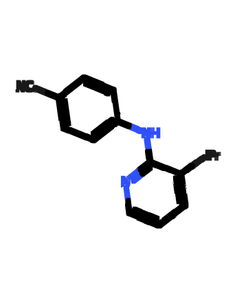 CC(C)c1cccnc1Nc1ccc(C#N)cc1